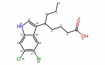 CCCC(CCCC(=O)O)c1c[nH]c2cc(Cl)c(Br)cc12